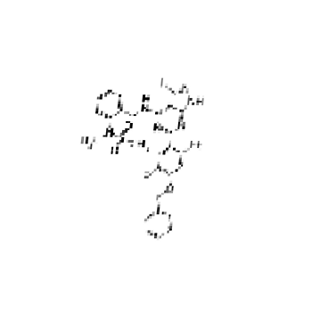 CCc1cc(OCc2ccccc2)c(F)cc1-c1nc(NCc2ccccc2N(C)S(C)(=O)=O)c2c(I)n[nH]c2n1